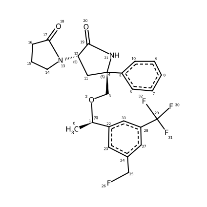 C[C@@H](OC[C@@]1(c2ccccc2)C[C@H](N2CCCC2=O)C(=O)N1)c1cc(CF)cc(C(F)(F)F)c1